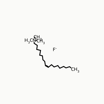 CCCCCCCC/C=C\CCCCCCCC[N+](C)(C)C.[F-]